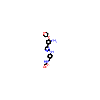 Nc1cc(-c2ccnc(Nc3ccc(CNC(=O)CO)cc3)n2)ccc1OC1CCOCC1